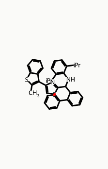 Cc1sc2ccccc2c1-c1csc(C(Nc2c(C(C)C)cccc2C(C)C)c2ccccc2-c2ccccc2)n1